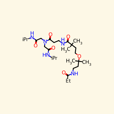 CCC(=O)NCCC(C)(C)OCCC(C)(C)C(=O)NCCC(=O)N(CC(=O)NC(C)C)CC(=O)NC(C)C